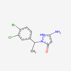 CC(c1ccc(Br)c(Cl)c1)n1[nH]c(N)cc1=O